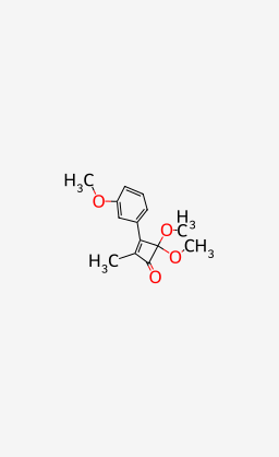 COc1cccc(C2=C(C)C(=O)C2(OC)OC)c1